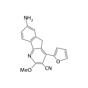 COc1nc2c(c(-c3ccco3)c1C#N)Cc1cc(N)ccc1-2